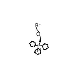 BrCCOCC#C[PH](c1ccccc1)(c1ccccc1)c1ccccc1